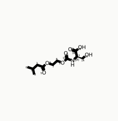 CC(C)CC(=O)OCCOC(=O)N[C@H](CO)C(=O)O